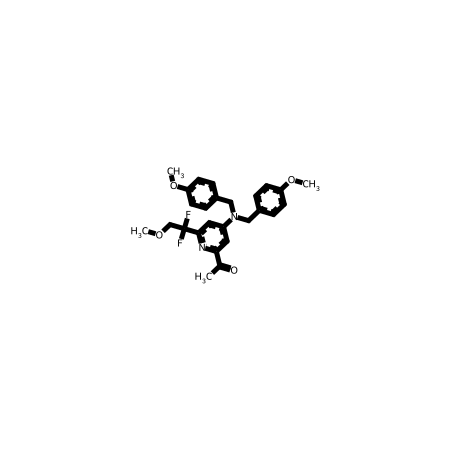 COCC(F)(F)c1cc(N(Cc2ccc(OC)cc2)Cc2ccc(OC)cc2)cc(C(C)=O)n1